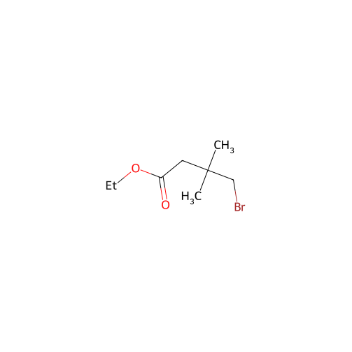 CCOC(=O)CC(C)(C)CBr